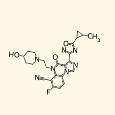 CC1CC1c1nc(-c2ncn3c2c(=O)n(CCN2CCC(O)CC2)c2c(C#N)c(F)ccc23)no1